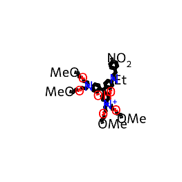 CCN(CCc1ccc([N+](=O)[O-])cc1)c1ccc2c(-c3ccc(N(CCOCCOC)CCOCCOC)cc3O)c3ccc(=[N+](CCOCCOC)CCOCCOC)cc-3oc2c1